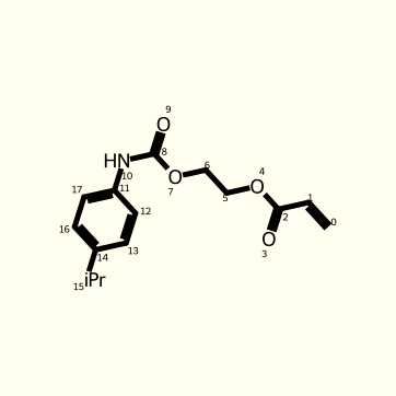 C=CC(=O)OCCOC(=O)Nc1ccc(C(C)C)cc1